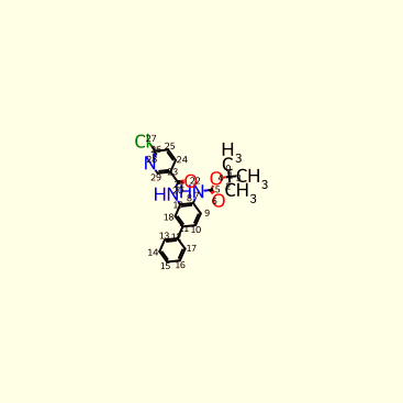 CC(C)(C)OC(=O)Nc1ccc(-c2ccccc2)cc1NC(=O)c1ccc(Cl)nc1